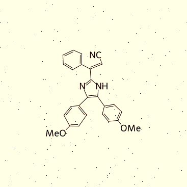 COc1ccc(-c2nc(C(=CC#N)c3ccccc3)[nH]c2-c2ccc(OC)cc2)cc1